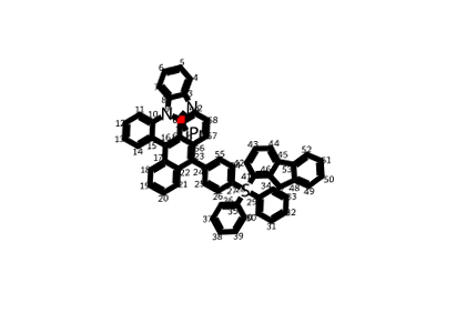 CC(C)c1nc2ccccc2n1-c1ccccc1-c1c2ccccc2c(-c2ccc(S(c3ccccc3)(c3ccccc3)c3cccc4c3Cc3ccccc3-4)cc2)c2ccccc12